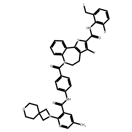 Cc1cnc(N2CC3(CCOCC3)C2)c(C(=O)Nc2ccc(C(=O)N3CCc4c(sc(C(=O)Nc5c(F)cccc5CI)c4F)-c4ccccc43)cc2)c1